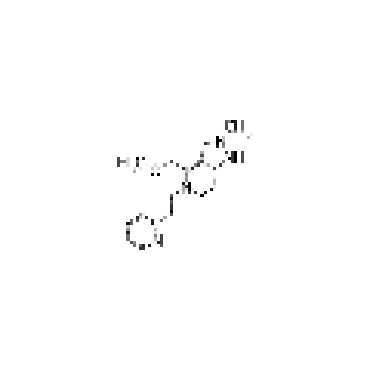 COCC1=C2CN(C)NC2=CCN1CCc1ccccn1